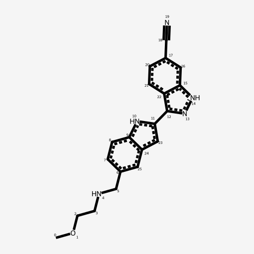 COCCNCc1ccc2[nH]c(-c3n[nH]c4cc(C#N)ccc34)cc2c1